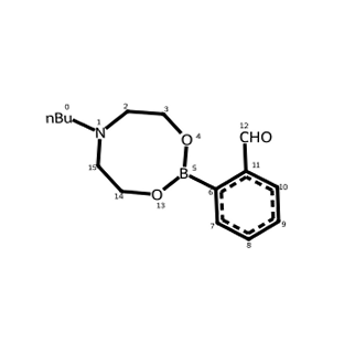 CCCCN1CCOB(c2ccccc2C=O)OCC1